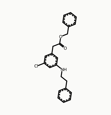 O=C(Cc1cc(Cl)cc(NCCc2ccccc2)c1)OCc1ccccc1